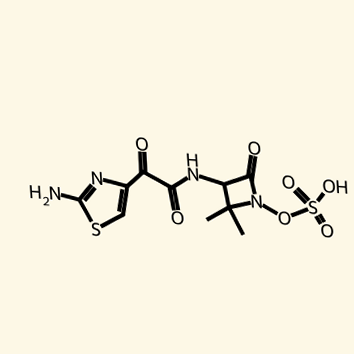 CC1(C)C(NC(=O)C(=O)c2csc(N)n2)C(=O)N1OS(=O)(=O)O